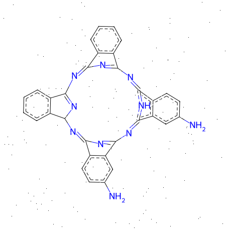 Nc1ccc2c(c1)C1=NC/2=N\C2N=C(/N=C3N=C(/N=c4\[nH]/c(c5cc(N)ccc45)=N\1)c1ccccc1\3)c1ccccc12